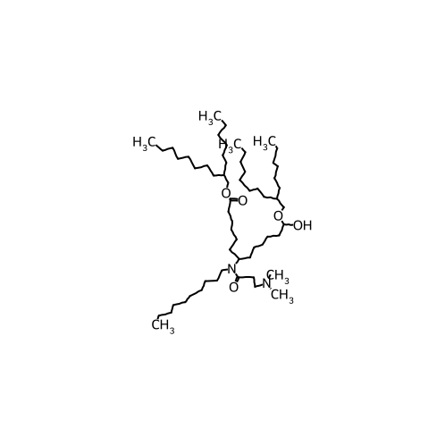 CCCCCCCCCCN(C(=O)CCN(C)C)C(CCCCCC(=O)OCC(CCCCCC)CCCCCCCC)CCCCCC(O)OCC(CCCCCC)CCCCCCCC